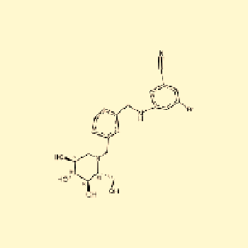 N#Cc1cc(Br)cc(NCc2cccc(CN3C[C@H](O)[C@@H](O)[C@H](O)[C@H]3CO)c2)c1